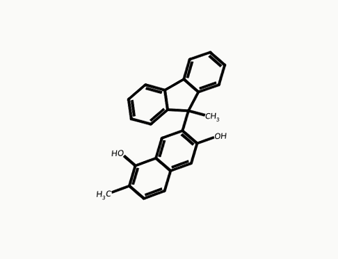 Cc1ccc2cc(O)c(C3(C)c4ccccc4-c4ccccc43)cc2c1O